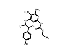 CCOC(=O)Nc1cc(NC(C)C(O)c2ccc(O)cc2)c(N)c(N)n1